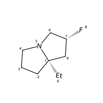 CC[C@]12CCCN1C[C@H](F)C2